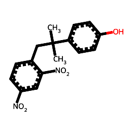 CC(C)(Cc1ccc([N+](=O)[O-])cc1[N+](=O)[O-])c1ccc(O)cc1